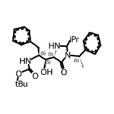 CC(C)C1N[C@@H]([C@@H](O)[C@H](Cc2ccccc2)NC(=O)OC(C)(C)C)C(=O)N1[C@@H](C)c1ccccc1